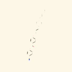 CCCCC[C@H]1CC[C@H](C=CCOc2ccc(C(=O)Oc3ccc(C#N)cc3F)cc2)CC1